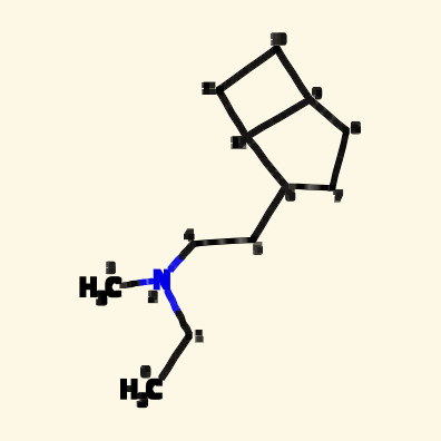 CCN(C)CCC1CCC2CCC21